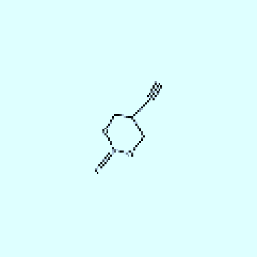 C#CC1COS(=S)OC1